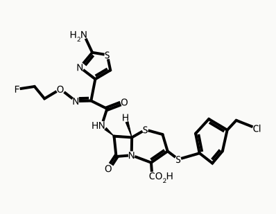 Nc1nc(C(=NOCCF)C(=O)N[C@@H]2C(=O)N3C(C(=O)O)=C(Sc4ccc(CCl)cc4)CS[C@@H]23)cs1